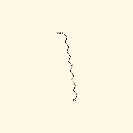 CCCCCCCCCCCCCCCSCCOCCCS